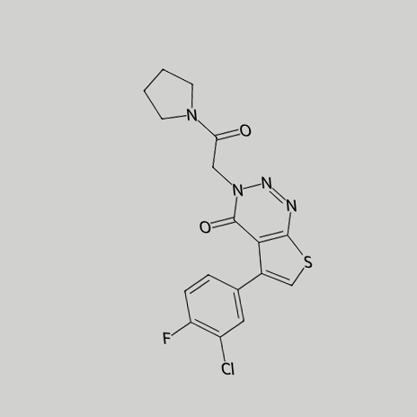 O=C(Cn1nnc2scc(-c3ccc(F)c(Cl)c3)c2c1=O)N1CCCC1